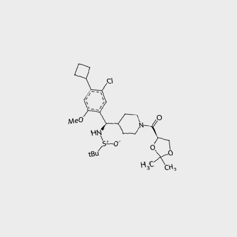 COc1cc(C2CCC2)c(Cl)cc1[C@H](N[S+]([O-])C(C)(C)C)C1CCN(C(=O)[C@H]2COC(C)(C)O2)CC1